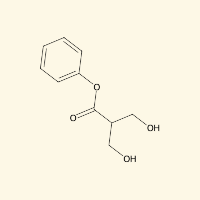 O=C(Oc1ccccc1)C(CO)CO